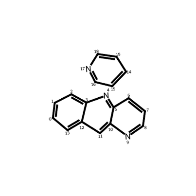 c1ccc2nc3cccnc3cc2c1.c1ccncc1